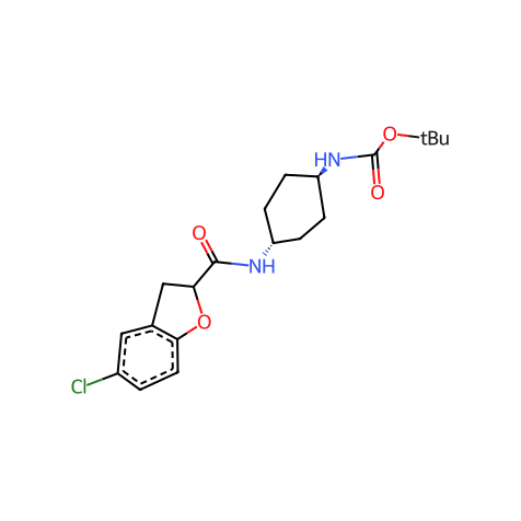 CC(C)(C)OC(=O)N[C@H]1CC[C@H](NC(=O)C2Cc3cc(Cl)ccc3O2)CC1